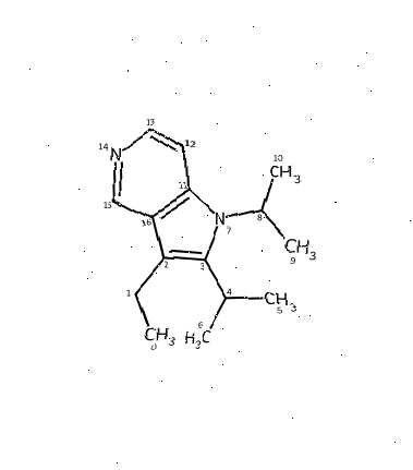 CCc1c(C(C)C)n(C(C)C)c2ccncc12